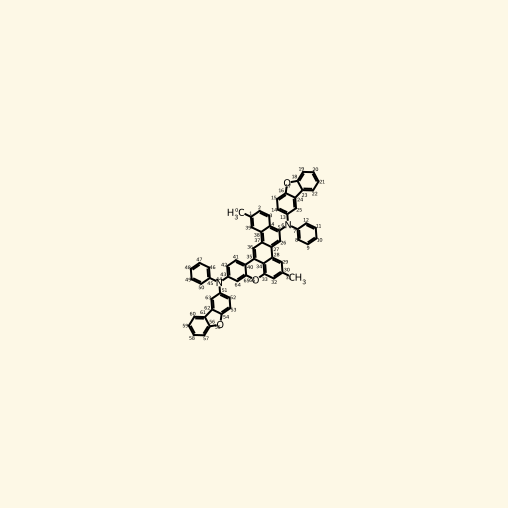 Cc1ccc2c(N(c3ccccc3)c3ccc4oc5ccccc5c4c3)cc3c4cc(C)cc5c4c(cc3c2c1)-c1ccc(N(c2ccccc2)c2ccc3oc4ccccc4c3c2)cc1O5